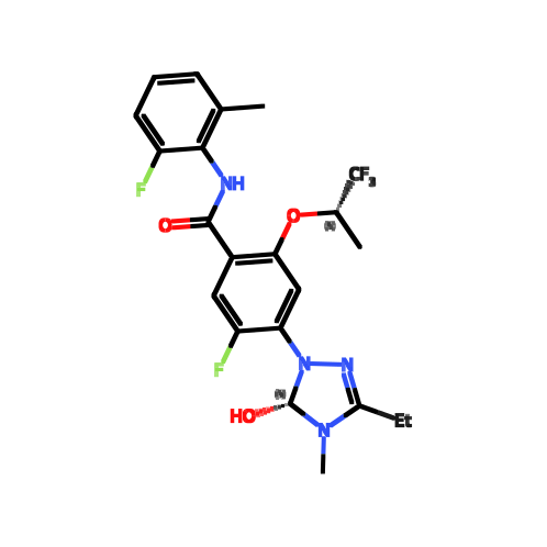 CCC1=NN(c2cc(O[C@@H](C)C(F)(F)F)c(C(=O)Nc3c(C)cccc3F)cc2F)[C@@H](O)N1C